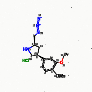 COc1ccc([C@H]2CN[C@@H](CN=[N+]=[N-])C2)cc1OC(C)C.Cl